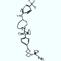 NC(=O)N1CCC12CN(c1ccc(S(=O)(=O)N3CCC(Nc4ccc(C(F)(F)F)cn4)CC3)cc1)C2